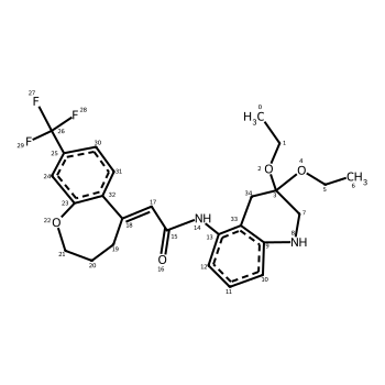 CCOC1(OCC)CNc2cccc(NC(=O)C=C3CCCOc4cc(C(F)(F)F)ccc43)c2C1